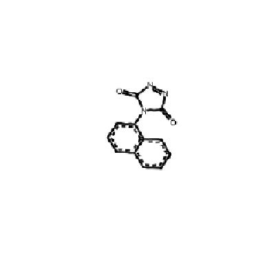 O=C1N=NC(=O)N1c1cccc2ccccc12